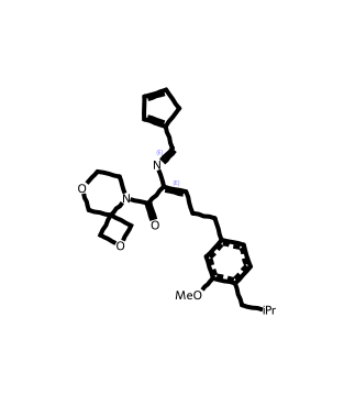 COc1cc(CC/C=C(/N=C/C2=CC=CC2)C(=O)N2CCOCC23COC3)ccc1CC(C)C